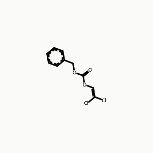 O=C(OC=C(Cl)Cl)OCc1ccccc1